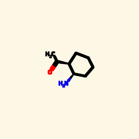 CC(=O)[C@H]1CCCC[C@@H]1N